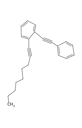 CCCCCCCC#Cc1ccccc1C#Cc1ccccc1